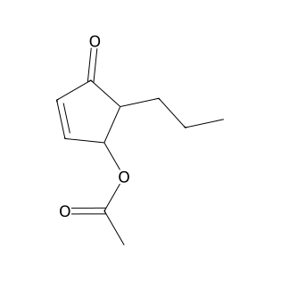 CCCC1C(=O)C=CC1OC(C)=O